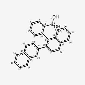 OB(O)c1ccccc1-c1c(-c2ccc3ccccc3c2)ccc2ccccc12